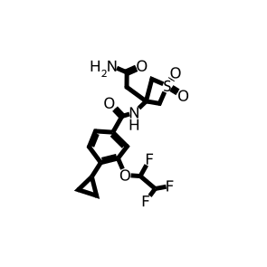 NC(=O)CC1(NC(=O)c2ccc(C3CC3)c(OC(F)C(F)F)c2)CS(=O)(=O)C1